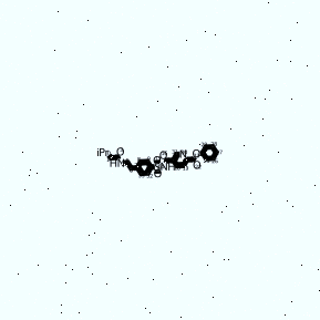 CC(C)CC(=O)NCCc1ccc(S(=O)(=O)NC(=O)c2ccc(C(=O)OC3CCCCC3)nc2)cc1